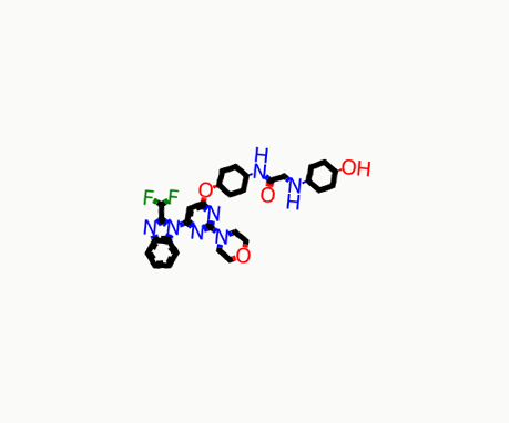 O=C(CN[C@H]1CC[C@@H](O)CC1)N[C@H]1CC[C@H](Oc2cc(-n3c(C(F)F)nc4ccccc43)nc(N3CCOCC3)n2)CC1